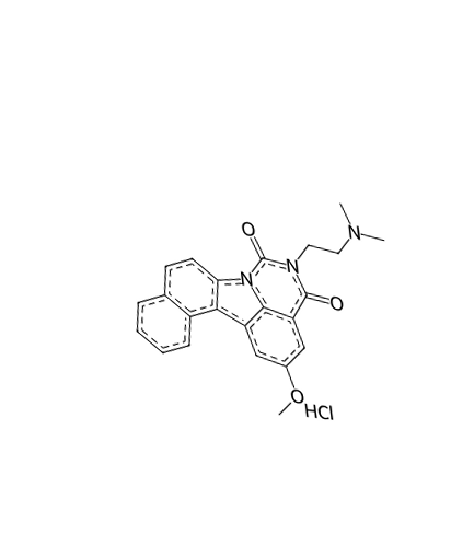 COc1cc2c(=O)n(CCN(C)C)c(=O)n3c4ccc5ccccc5c4c(c1)c23.Cl